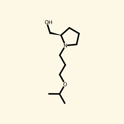 CC(C)OCCCN1CCC[C@@H]1CO